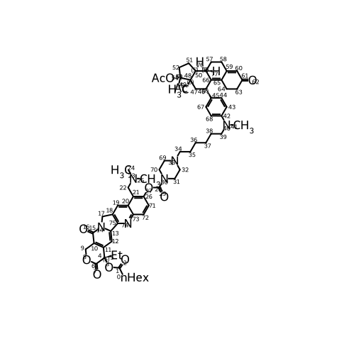 CCCCCCC(=O)O[C@]1(CC)C(=O)OCc2c1cc1n(c2=O)Cc2cc3c(CN(C)C)c(OC(=O)N4CCN(CCCCCCN(C)c5ccc([C@H]6C[C@@]7(C)[C@@H](CC[C@]7(OC(C)=O)C(C)=O)[C@@H]7CCC8=CC(=O)CCC8=C76)cc5)CC4)ccc3nc2-1